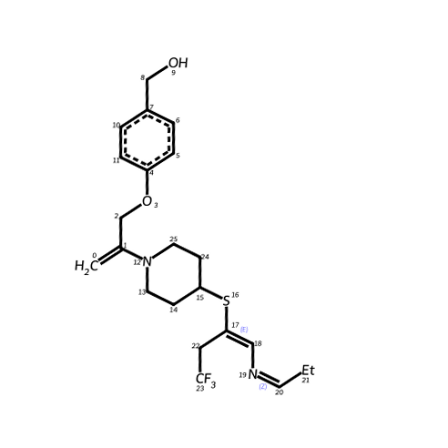 C=C(COc1ccc(CO)cc1)N1CCC(S/C(=C/N=C\CC)CC(F)(F)F)CC1